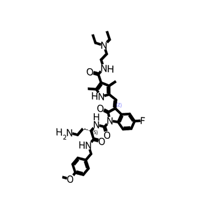 CCN(CC)CCNC(=O)c1c(C)[nH]c(/C=C2\C(=O)N(C(=O)N[C@@H](CCN)C(=O)NCc3ccc(OC)cc3)c3ccc(F)cc32)c1C